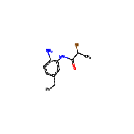 CC(C)Cc1ccc(N)c(NC(=O)C(C)S)c1